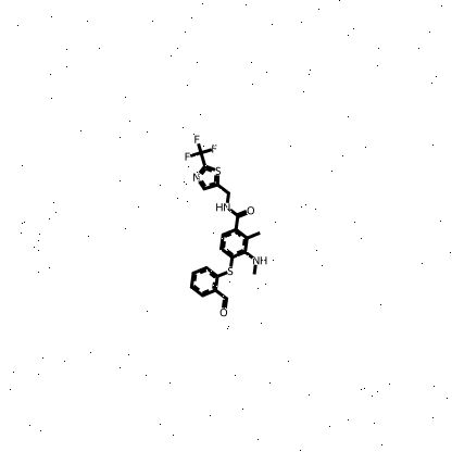 CNc1c(Sc2ccccc2C=O)ccc(C(=O)NCc2cnc(C(F)(F)F)s2)c1C